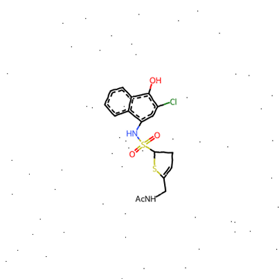 CC(=O)NCC1=CCC(S(=O)(=O)Nc2cc(Cl)c(O)c3ccccc23)S1